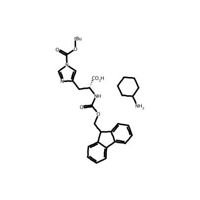 CC(C)(C)OC(=O)n1cnc(C[C@@H](NC(=O)OCC2c3ccccc3-c3ccccc32)C(=O)O)c1.NC1CCCCC1